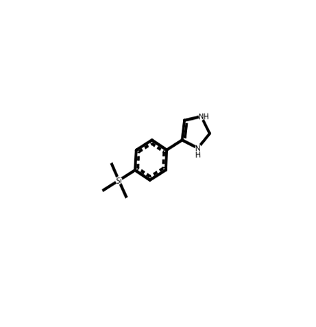 C[Si](C)(C)c1ccc(C2=CNCN2)cc1